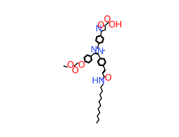 CCCCCCCCCCCCNC(=O)C=Cc1ccc(-c2c(-c3ccc(OCC(=O)OCC)cc3)nc(-c3ccc(C4=NOC(C(=O)O)C4)cc3)n2C)cc1